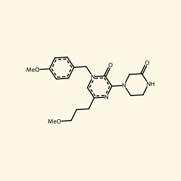 COCCCc1cn(Cc2ccc(OC)cc2)c(=O)c(N2CCNC(=O)C2)n1